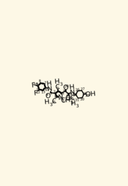 Cc1c(C(=O)Nc2ccc(F)c(F)c2)c(C)n(C)c1C(=O)C(=O)NC1(C)CCC(O)CC1